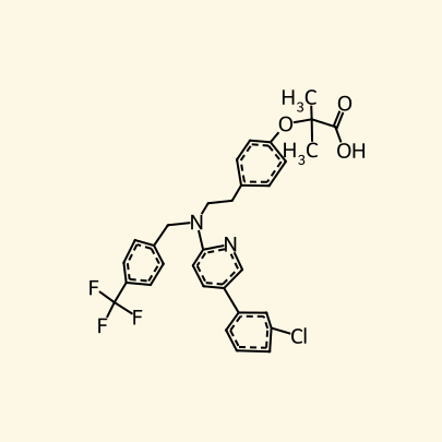 CC(C)(Oc1ccc(CCN(Cc2ccc(C(F)(F)F)cc2)c2ccc(-c3cccc(Cl)c3)cn2)cc1)C(=O)O